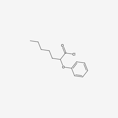 CCCCCC(Oc1ccccc1)C(=O)Cl